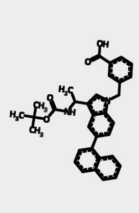 CC(NC(=O)OC(C)(C)C)c1cn(Cc2cccc(C(=O)O)c2)c2ccc(-c3cccc4ccccc34)cc12